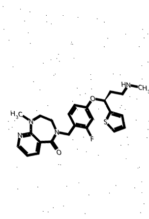 CNCC[C@H](Oc1ccc(CN2CCN(C)c3ncccc3C2=O)c(F)c1)c1cccs1